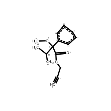 C#CCOC(=O)C(OC)(c1ccccc1)C(C)C